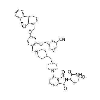 N#Cc1cncc(COc2cc(OCc3cccc(-c4ccccc4F)c3Cl)ccc2CN2CCC(CN3CCN(c4cccc5c4C(=O)N(C4CCC(=O)NC4=O)C5=O)CC3)CC2)c1